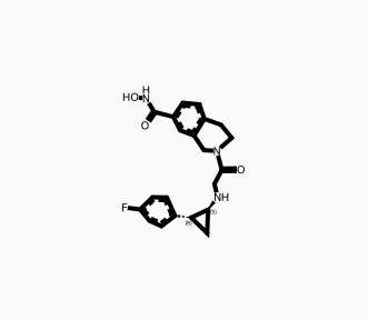 O=C(NO)c1ccc2c(c1)CN(C(=O)CN[C@H]1C[C@@H]1c1ccc(F)cc1)CC2